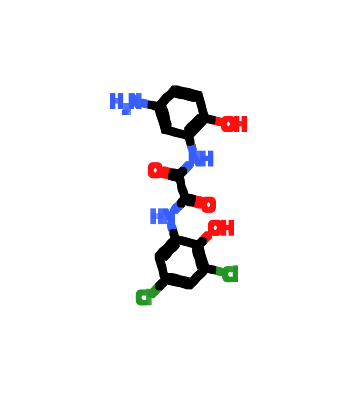 Nc1ccc(O)c(NC(=O)C(=O)Nc2cc(Cl)cc(Cl)c2O)c1